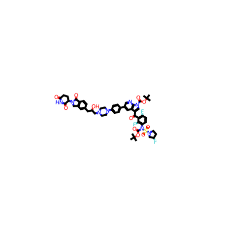 CC(C)(C)OC(=O)N(c1ccc(F)c(C(=O)c2cn(C(=O)OC(C)(C)C)c3ncc(-c4ccc(N5CCN(CC(O)Cc6ccc7c(c6)CN(C6CCC(=O)NC6=O)C7=O)CC5)cc4)cc23)c1F)S(=O)(=O)N1CCC(F)C1